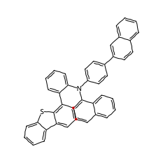 c1ccc(N(c2ccc(-c3ccc4ccccc4c3)cc2)c2cccc3ccccc23)c(-c2cccc3c2sc2ccccc23)c1